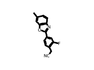 Cc1ccc2nc(-c3ccc(CC#N)c(F)c3)oc2c1